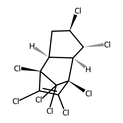 ClC1=C(Cl)[C@]2(Cl)[C@H]3C[C@@H](Cl)[C@H](Cl)[C@H]3[C@@]1(Cl)C2(Cl)Cl